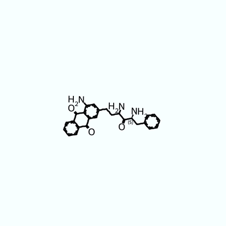 Nc1cc(CCC(N)C(=O)[C@@H](N)Cc2ccccc2)cc2c1C(=O)c1ccccc1C2=O